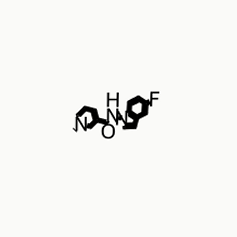 CN1CCC=C(C(=O)Nn2ccc3cc(F)ccc32)C1